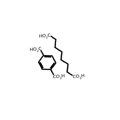 O=C(O)CCCCCCC(=O)O.O=C(O)c1ccc(C(=O)O)cc1